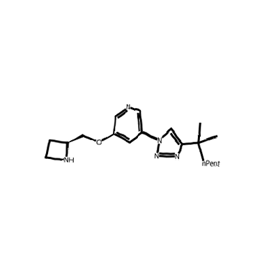 CCCCCC(C)(C)c1cn(-c2cncc(OC[C@@H]3CCN3)c2)nn1